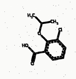 CC(C)Oc1c(Cl)cccc1C(=O)O